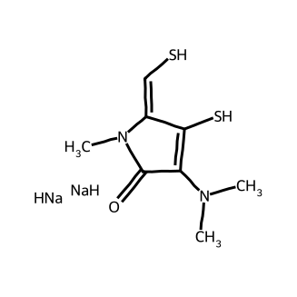 CN(C)C1=C(S)C(=CS)N(C)C1=O.[NaH].[NaH]